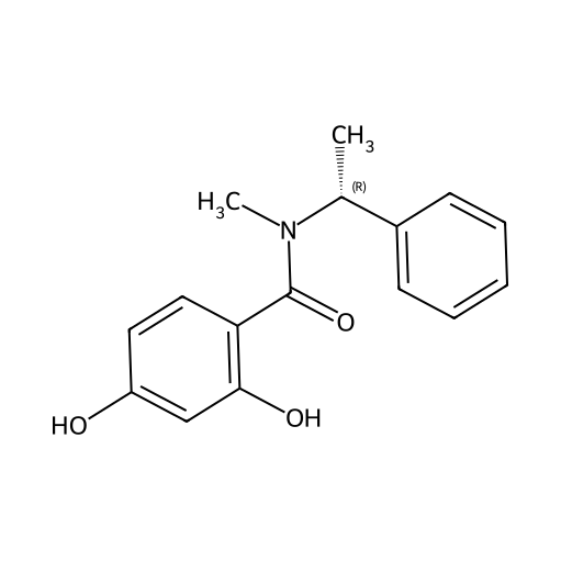 C[C@H](c1ccccc1)N(C)C(=O)c1ccc(O)cc1O